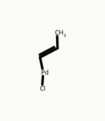 CC=[CH][Pd][Cl]